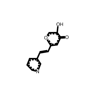 O=c1cc(/C=C/c2cccnc2)occ1O